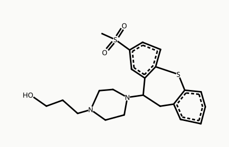 CS(=O)(=O)c1ccc2c(c1)C(N1CCN(CCCO)CC1)Cc1ccccc1S2